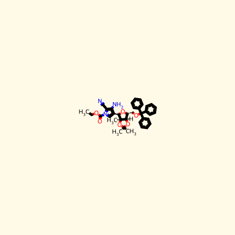 CCOC(=O)n1cc([C@H]2O[C@H](COC(c3ccccc3)(c3ccccc3)c3ccccc3)[C@H]3OC(C)(C)O[C@@]23C)c(N)c1C#N